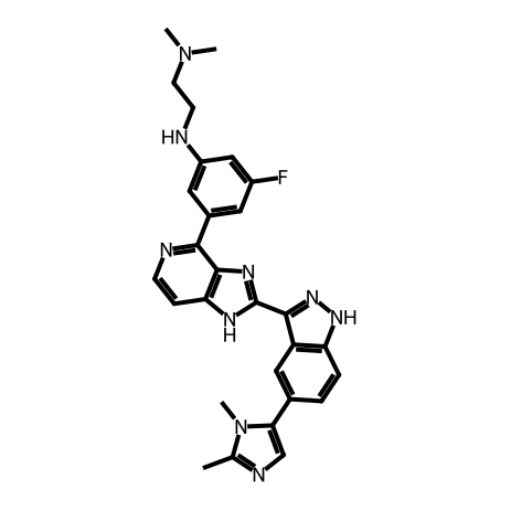 Cc1ncc(-c2ccc3[nH]nc(-c4nc5c(-c6cc(F)cc(NCCN(C)C)c6)nccc5[nH]4)c3c2)n1C